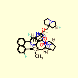 C#Cc1c(F)ccc2cccc(-c3nc4c5c(nc(OC[C@@]67CCCN6C[C@H](F)C7)nc5c3F)N3C[C@H]5CC[C@@H]([C@H]3C[C@@H]4CC)N5C(=O)OC(C)(C)C)c12